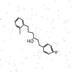 OC(CCCc1ccccc1I)CCc1ccc(F)cc1